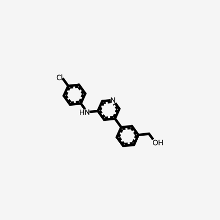 OCc1cccc(-c2cncc(Nc3ccc(Cl)cc3)c2)c1